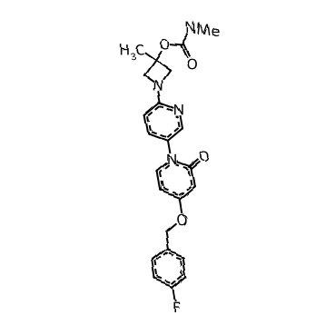 CNC(=O)OC1(C)CN(c2ccc(-n3ccc(OCc4ccc(F)cc4)cc3=O)cn2)C1